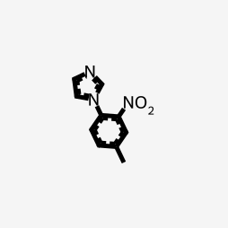 Cc1ccc(-n2ccnc2)c([N+](=O)[O-])c1